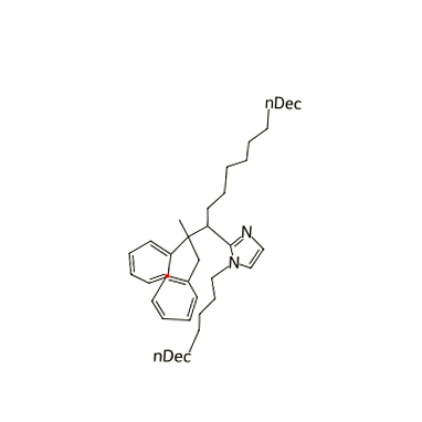 CCCCCCCCCCCCCCCCC(c1nccn1CCCCCCCCCCCCCC)C(C)(Cc1ccccc1)c1ccccc1